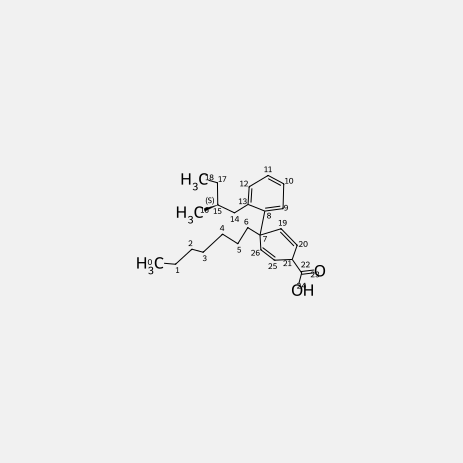 CCCCCCCC1(c2ccccc2C[C@@H](C)CC)C=CC(C(=O)O)C=C1